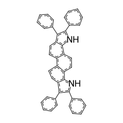 c1ccc(-c2[nH]c3c(ccc4c5ccc6c(-c7ccccc7)c(-c7ccccc7)[nH]c6c5ccc43)c2-c2ccccc2)cc1